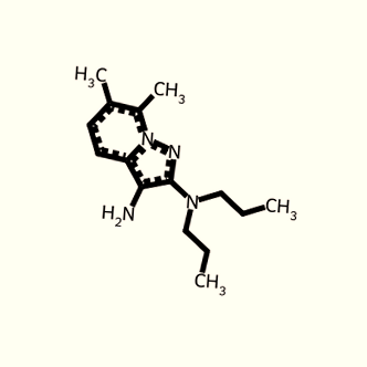 CCCN(CCC)c1nn2c(C)c(C)ccc2c1N